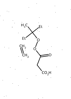 C=C.CCC(C)(CC)OOC(=O)CC(=O)O